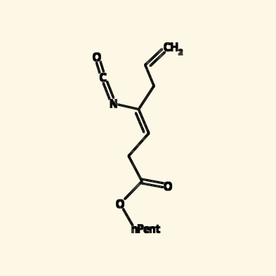 C=CCC(=CCC(=O)OCCCCC)N=C=O